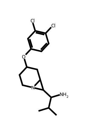 CC(C)C(N)C1C2CC(Oc3ccc(Cl)c(Cl)c3)CCN21